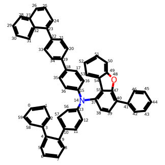 c1ccc(-c2ccccc2-c2ccc(N(c3ccc(-c4ccc(-c5cccc6ccccc56)cc4)cc3)c3ccc(-c4ccccc4)c4oc5ccccc5c34)cc2)cc1